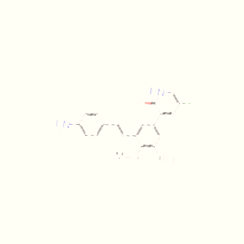 COc1c(C=Cc2ccc(N)cc2)cc(-c2cc(F)c[nH]c2=O)cc1C(C)(C)C